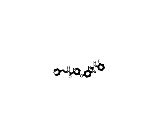 Cn1c(Nc2ccccc2F)nc2cc(Oc3ccnc(C(=O)NCCc4ccncc4)c3)ccc21